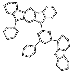 c1ccc(-c2cc(-c3cccc4c3oc3ccccc34)nc(-n3c4ccccc4c4cc5c6ccccc6n(-c6ccccc6)c5cc43)n2)cc1